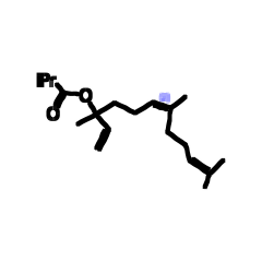 C=CC(C)(CC/C=C(/C)CCC=C(C)C)OC(=O)C(C)C